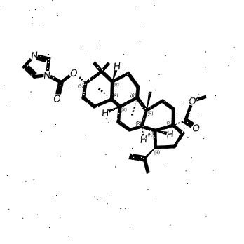 C=C(C)[C@@H]1CC[C@]2(C(=O)OC)CC[C@]3(C)[C@H](CC[C@@H]4[C@@]5(C)CC[C@H](OC(=O)n6ccnc6)C(C)(C)[C@@H]5CC[C@]43C)[C@@H]12